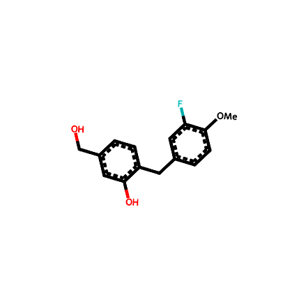 COc1ccc(Cc2ccc(CO)cc2O)cc1F